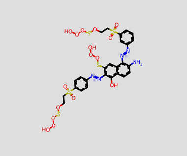 Nc1ccc2c(O)c(/N=N/c3ccc(S(=O)(=O)CCOSOOO)cc3)c(SOOO)cc2c1/N=N/c1cccc(S(=O)(=O)CCOSOOO)c1